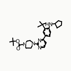 CC(C)(C)OC(=O)N1CCN(c2nccc(-c3ccc(NC4CCCC4)c(C(C)(C)C)c3)n2)CC1